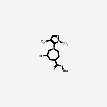 Cn1ncc([N+](=O)[O-])c1N1CCC(C(=O)OC(C)(C)C)CC(O)C1